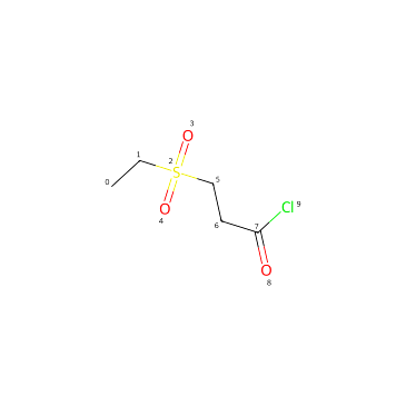 CCS(=O)(=O)CCC(=O)Cl